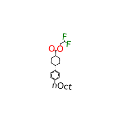 CCCCCCCCc1ccc([C@H]2CC[C@H](C(=O)OCC(F)F)CC2)cc1